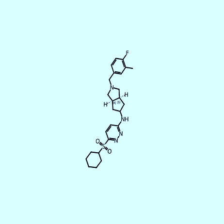 Cc1cc(CN2C[C@H]3CC(Nc4ccc(S(=O)(=O)C5CCCCC5)nn4)C[C@H]3C2)ccc1F